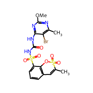 COc1nc(C)c(Br)c(NC(=O)NS(=O)(=O)c2cccc3c2OS(=O)(=O)C(C)=C3)n1